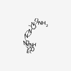 CCc1cn2nc(CN3CCN(c4ccc(C(N)=O)nc4C)CC3)cc2[nH]c1=O